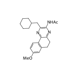 COc1ccc2c(c1)CCc1nc(NC(C)=O)c(CC3CCCCC3)nc1-2